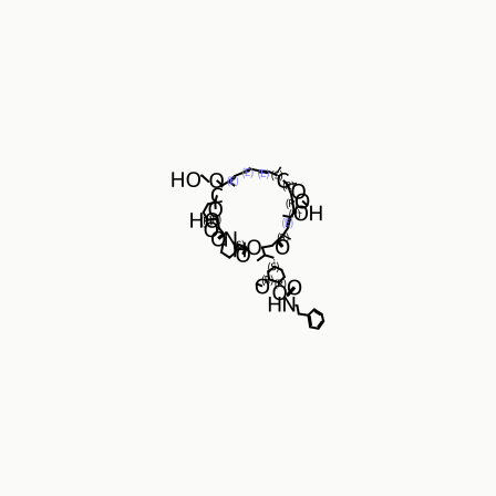 CO[C@@H]1C[C@H](CC(C)C2CC(=O)[C@H](C)/C=C(\C)[C@@H](O)[C@@H](OC)C(=O)[C@H](C)C[C@H](C)/C=C/C=C/C=C(\C)C(OCCO)CC3CC[C@@H](C)[C@@](O)(O3)C(=O)C(=O)N3CCCC[C@H]3C(=O)O2)CC[C@H]1OC(=O)NCCc1ccccc1